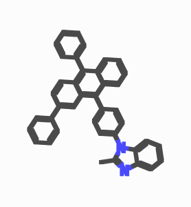 Cc1nc2ccccc2n1-c1ccc(-c2c3ccccc3c(-c3ccccc3)c3ccc(-c4ccccc4)cc23)cc1